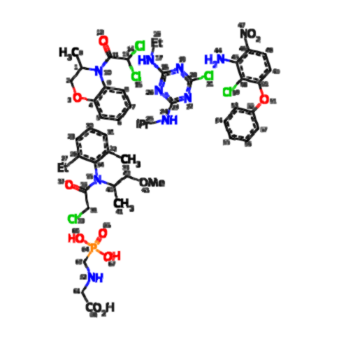 CC1COc2ccccc2N1C(=O)C(Cl)Cl.CCNc1nc(Cl)nc(NC(C)C)n1.CCc1cccc(C)c1N(C(=O)CCl)C(C)COC.Nc1c([N+](=O)[O-])ccc(Oc2ccccc2)c1Cl.O=C(O)CNCP(=O)(O)O